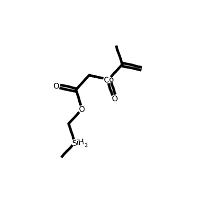 C=[C](C)[Co](=[O])[CH2]C(=O)OC[SiH2]C